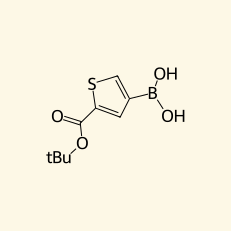 CC(C)(C)OC(=O)c1cc(B(O)O)cs1